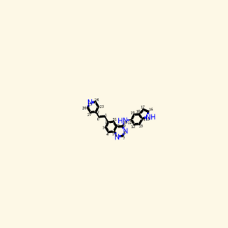 C(=C\c1ccc2ncnc(Nc3ccc4[nH]ccc4c3)c2c1)/c1ccncc1